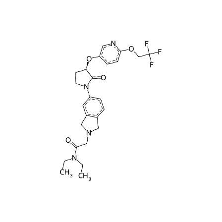 CCN(CC)C(=O)CN1Cc2ccc(N3CC[C@@H](Oc4ccc(OCC(F)(F)F)nc4)C3=O)cc2C1